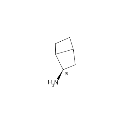 N[C@@H]1CC2CCC21